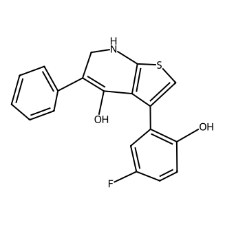 OC1=C(c2ccccc2)CNc2scc(-c3cc(F)ccc3O)c21